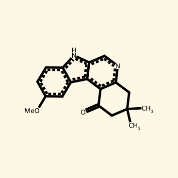 COc1ccc2[nH]c3cnc4c(c3c2c1)C(=O)CC(C)(C)C4